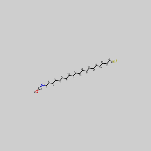 O=C=NCCCCCCCCCCCCCCCCCCCCS